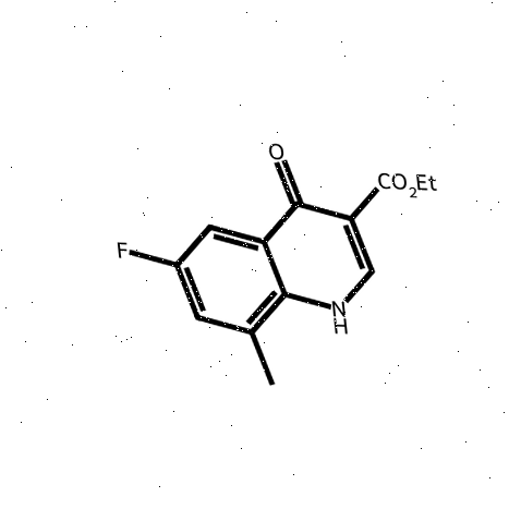 CCOC(=O)c1c[nH]c2c(C)cc(F)cc2c1=O